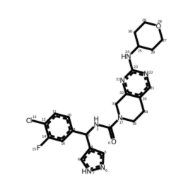 O=C(NC(c1cn[nH]c1)c1ccc(Cl)c(F)c1)N1CCc2cnc(NC3CCOCC3)nc2C1